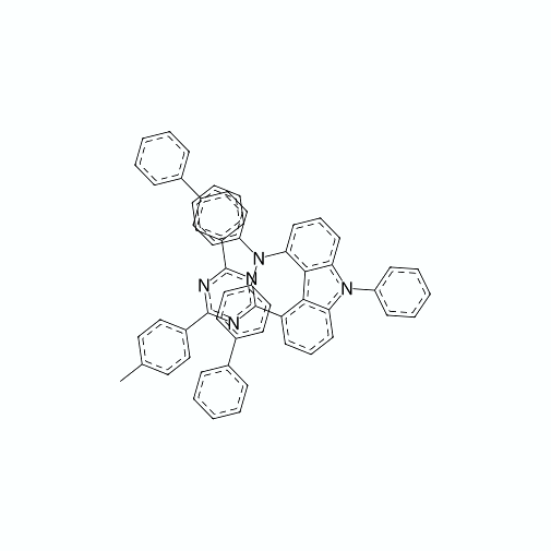 Cc1ccc(-c2nc(-c3ccccc3)nc(-c3cccc4c3c3c(N(c5ccc(-c6ccccc6)cc5)c5ccc(-c6ccccc6)cc5)cccc3n4-c3ccccc3)n2)cc1